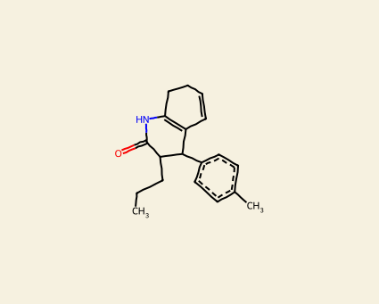 CCCC1C(=O)NC2=C(C=CCC2)C1c1ccc(C)cc1